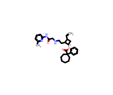 C=CC1C[C@H](OC(=O)C2(c3ccccc3)CCCCCC2)C1CCNCC(=O)Nc1cccc(C)n1